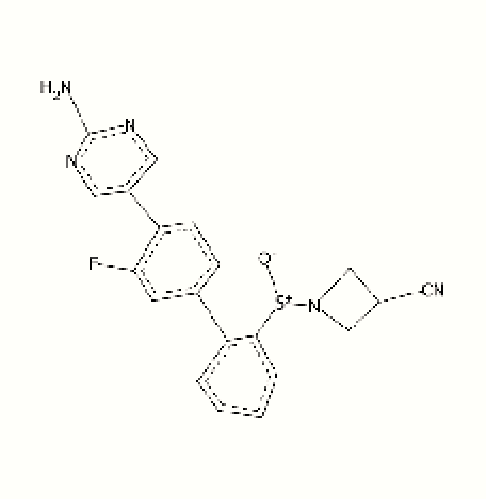 N#CC1CN([S+]([O-])c2ccccc2-c2ccc(-c3cnc(N)nc3)c(F)c2)C1